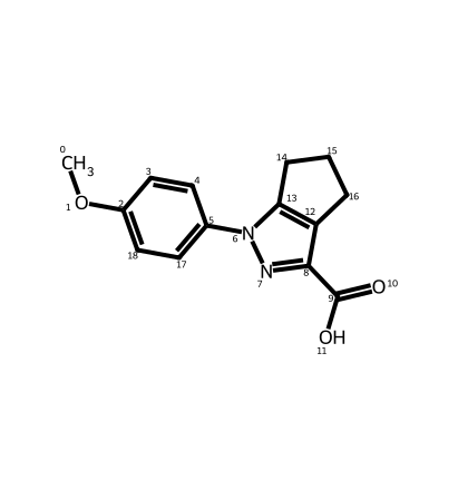 COc1ccc(-n2nc(C(=O)O)c3c2CCC3)cc1